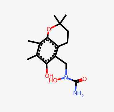 Cc1c(C)c2c(c(CN(O)C(N)=O)c1O)CCC(C)(C)O2